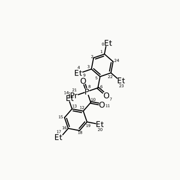 CCc1cc(CC)c(C(=O)P(=O)(C(=O)c2c(CC)cc(CC)cc2CC)C(C)C)c(CC)c1